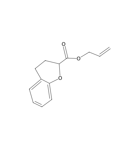 C=CCOC(=O)C1CCc2ccccc2O1